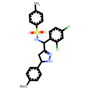 COc1ccc(C2CC(C(NS(=O)(=O)c3ccc(C)cc3)c3ccc(Cl)cc3Cl)=NN2)cc1